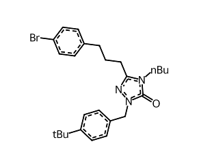 CCCCn1c(CCCc2ccc(Br)cc2)nn(Cc2ccc(C(C)(C)C)cc2)c1=O